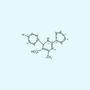 CC1=C(C(=O)O)C(c2ccc(F)cc2)NC(c2ccccc2)=N1